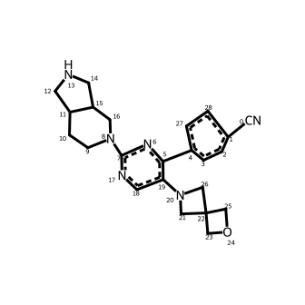 N#Cc1ccc(-c2nc(N3CCC4CNCC4C3)ncc2N2CC3(COC3)C2)cc1